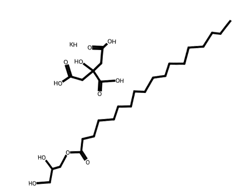 CCCCCCCCCCCCCCCCCC(=O)OCC(O)CO.O=C(O)CC(O)(CC(=O)O)C(=O)O.[KH]